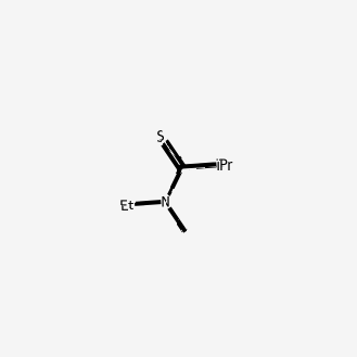 CCN(C)C(=S)C(C)C